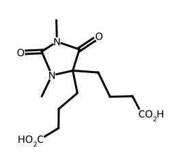 CN1C(=O)N(C)C(CCCC(=O)O)(CCCC(=O)O)C1=O